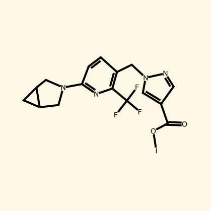 O=C(OI)c1cnn(Cc2ccc(N3CC4CC4C3)nc2C(F)(F)F)c1